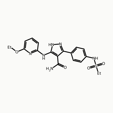 CCOc1cccc(Nc2[nH]nc(-c3ccc(NS(=O)(=O)CC)cc3)c2C(N)=O)n1